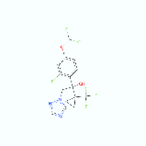 OC(Cn1cncn1)(c1ccc(OC(F)F)cc1F)C1(C(F)(F)F)CC1